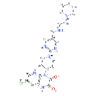 Cn1c(=O)c(=O)n(C2CCN(c3ncc(CNCCN4CCCCC4)cn3)CC2)c2ncc(Cl)cc21